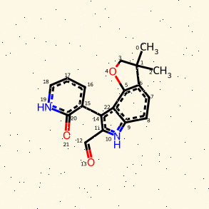 CC1(C)COc2c1ccc1[nH]c(C=O)c(-c3ccc[nH]c3=O)c21